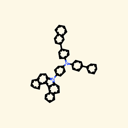 c1ccc(-c2ccc(N(c3ccc(-c4ccc5ccccc5c4)cc3)c3ccc(-n4c5ccc6ccccc6c5c5c6ccccc6ccc54)cc3)cc2)cc1